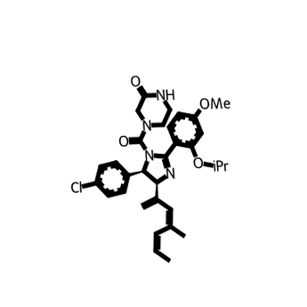 C=C(/C=C(C)\C=C/C)[C@@H]1N=C(c2ccc(OC)cc2OC(C)C)N(C(=O)N2CCNC(=O)C2)[C@@H]1c1ccc(Cl)cc1